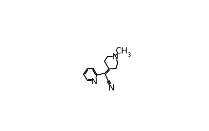 CN1CCC(=C(C#N)c2ccccn2)CC1